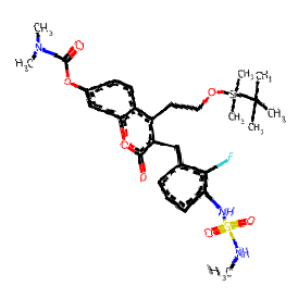 CNS(=O)(=O)Nc1cccc(Cc2c(CCO[Si](C)(C)C(C)(C)C)c3ccc(OC(=O)N(C)C)cc3oc2=O)c1F